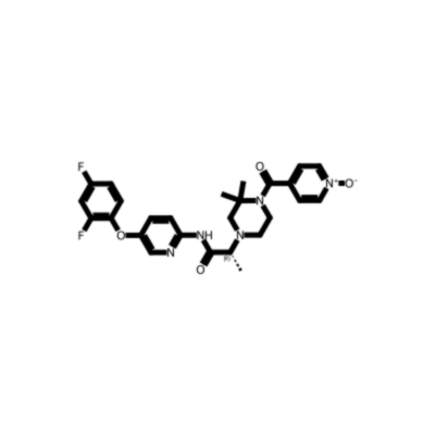 C[C@H](C(=O)Nc1ccc(Oc2ccc(F)cc2F)cn1)N1CCN(C(=O)c2cc[n+]([O-])cc2)C(C)(C)C1